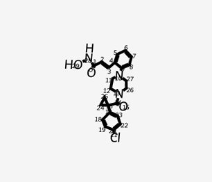 O=C(C=Cc1ccccc1N1CCN(C(=O)C2(c3ccc(Cl)cc3)CC2)CC1)NO